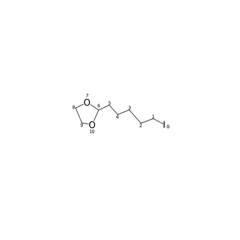 ICCCCCC1OCCO1